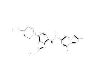 COc1nc2c(C(=O)Nc3cc(F)c4nc(C)cn4c3)ccc(N3CCC(N)CC3)c2s1